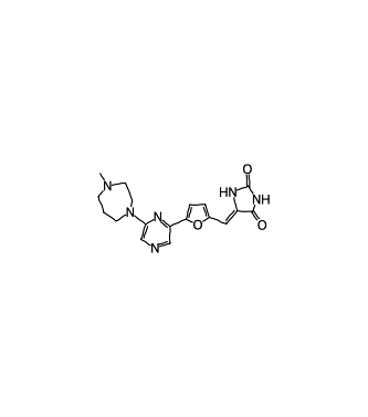 CN1CCCN(c2cncc(-c3ccc(/C=C4\NC(=O)NC4=O)o3)n2)CC1